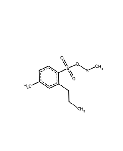 CCCc1cc(C)ccc1S(=O)(=O)OSC